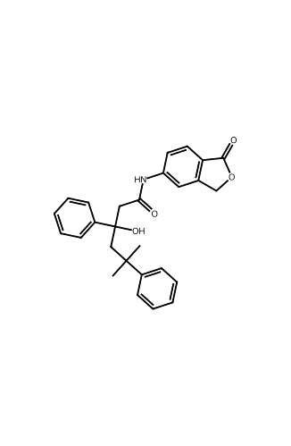 CC(C)(CC(O)(CC(=O)Nc1ccc2c(c1)COC2=O)c1ccccc1)c1ccccc1